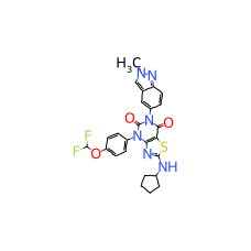 Cn1cc2cc(-n3c(=O)c4sc(NC5CCCC5)nc4n(-c4ccc(OC(F)F)cc4)c3=O)ccc2n1